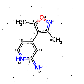 Cc1noc(C)c1-c1cc[nH]c(=N)c1